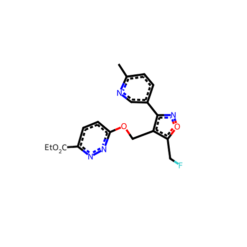 CCOC(=O)c1ccc(OCc2c(-c3ccc(C)nc3)noc2CF)nn1